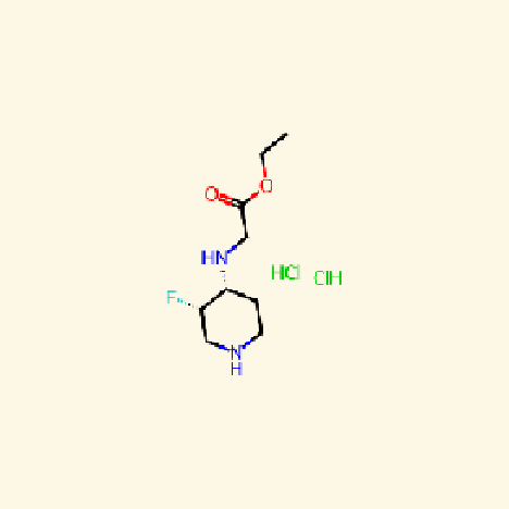 CCOC(=O)CN[C@@H]1CCNC[C@@H]1F.Cl.Cl